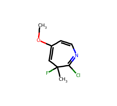 COC1=CC(C)(F)C(Cl)=NC=C1